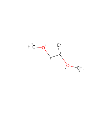 COCCOC.[Er]